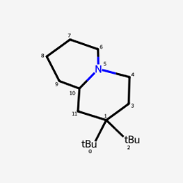 CC(C)(C)C1(C(C)(C)C)CCN2CCCCC2C1